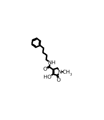 CN1CC(C(=O)NCCCCc2ccccc2)=C(O)C1=O